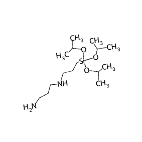 CC(C)O[Si](CCCNCCCN)(OC(C)C)OC(C)C